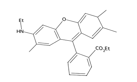 CCNc1cc2c(cc1C)C(c1ccccc1C(=O)OCC)=C1C=C(C)C(C)C=C1O2